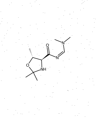 C[C@H]1OC(C)(C)N[C@@H]1C(=O)/N=C\N(C)C